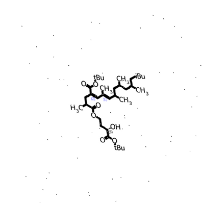 CCC(C)CC(C)CC(C)CC(C)/C=C(C)/C=C(/CC(C)C(=O)OCC[C@H](O)C(=O)OC(C)(C)C)C(=O)OC(C)(C)C